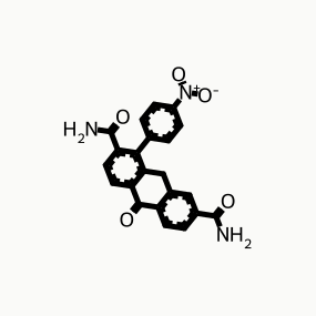 NC(=O)c1ccc2c(c1)Cc1c(ccc(C(N)=O)c1-c1ccc([N+](=O)[O-])cc1)C2=O